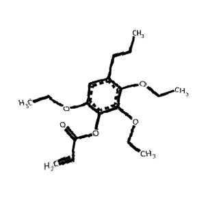 C=CC(=O)Oc1c(OCC)cc(CCC)c(OCC)c1OCC